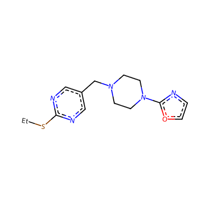 CCSc1ncc(CN2CCN(c3ncco3)CC2)cn1